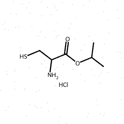 CC(C)OC(=O)C(N)CS.Cl